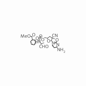 COC(=O)c1ccccc1OP(=O)(NC(C)C=O)OCC1CC(C)(C#N)C(n2ccc(N)nc2=O)O1